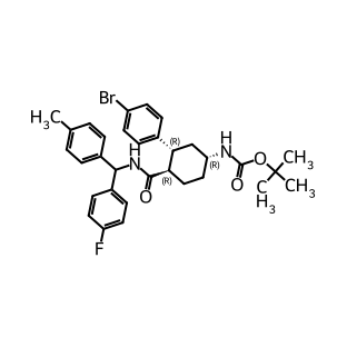 Cc1ccc(C(NC(=O)[C@@H]2CC[C@@H](NC(=O)OC(C)(C)C)C[C@H]2c2ccc(Br)cc2)c2ccc(F)cc2)cc1